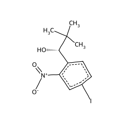 CC(C)(C)[C@@H](O)c1ccc(I)cc1[N+](=O)[O-]